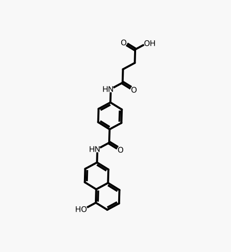 O=C(O)CCC(=O)Nc1ccc(C(=O)Nc2ccc3c(O)cccc3c2)cc1